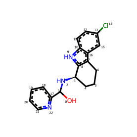 OC(N[C@@H]1CCCc2c1[nH]c1ccc(Cl)cc21)c1ccccn1